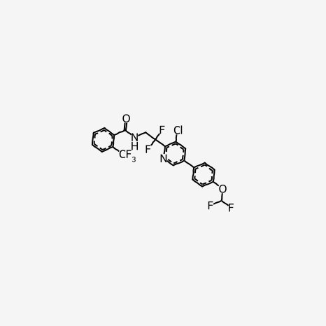 O=C(NCC(F)(F)c1ncc(-c2ccc(OC(F)F)cc2)cc1Cl)c1ccccc1C(F)(F)F